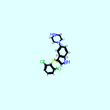 Clc1cccc(Cl)c1Sc1c[nH]c2ccc(N3CCNCC3)cc12